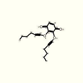 CCCCC#COC1=C(OC#CCCCC)C(=O)C=CC1=O